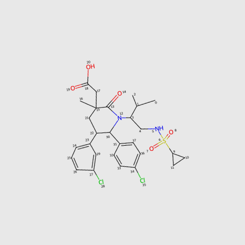 CC(C)C(CNS(=O)(=O)C1CC1)N1C(=O)C(C)(CC(=O)O)CC(c2cccc(Cl)c2)C1c1ccc(Cl)cc1